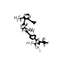 COc1ncnc(C2CC2)c1-c1nnc(C)c(NCc2ccc(-c3nc(C(F)(F)F)cn3C(C)C)cc2)n1